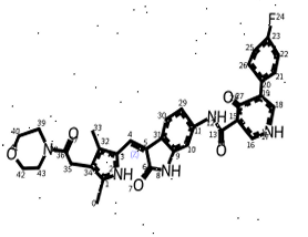 Cc1[nH]c(/C=C2\C(=O)Nc3cc(NC(=O)c4c[nH]cc(-c5ccc(F)cc5)c4=O)ccc32)c(C)c1CC(=O)N1CCOCC1